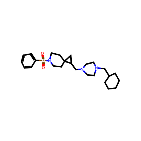 O=S(=O)(c1ccccc1)N1CCC2(CC1)CC2CN1CCN(CC2CCCCC2)CC1